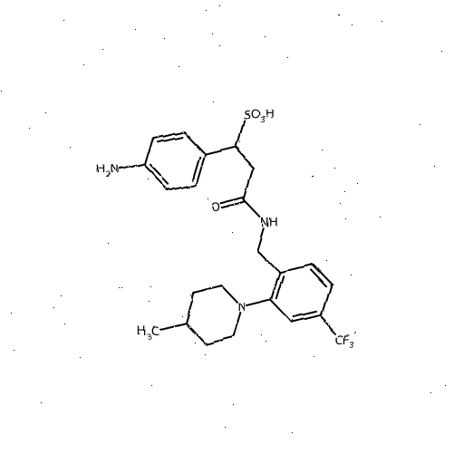 CC1CCN(c2cc(C(F)(F)F)ccc2CNC(=O)CC(c2ccc(N)cc2)S(=O)(=O)O)CC1